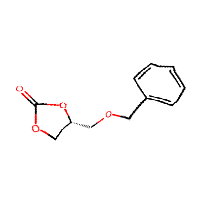 O=C1OC[C@@H](COCc2ccccc2)O1